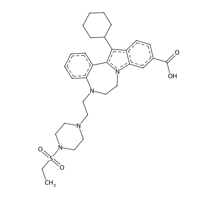 CCS(=O)(=O)N1CCN(CCN2CCn3c(c(C4CCCCC4)c4ccc(C(=O)O)cc43)-c3ccccc32)CC1